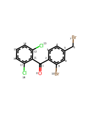 O=C(c1ccc(CBr)cc1Br)c1c(Cl)cccc1Cl